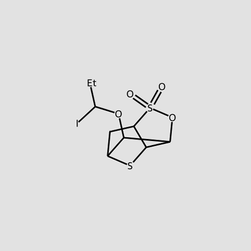 CCC(I)OC1C2CC3C(S2)C1OS3(=O)=O